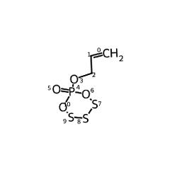 C=CCOP1(=O)OSSSO1